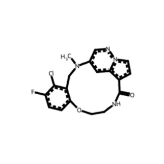 CN1Cc2c(ccc(F)c2Cl)OCCNC(=O)c2ccn3ncc1cc23